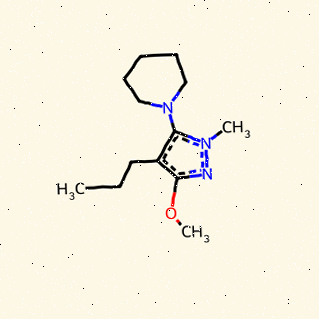 CCCc1c(OC)nn(C)c1N1CCCCC1